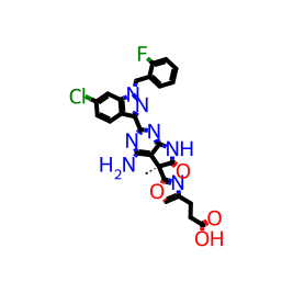 C[C@@]1(c2nc(CCC(=O)O)co2)C(=O)Nc2nc(-c3nn(Cc4ccccc4F)c4cc(Cl)ccc34)nc(N)c21